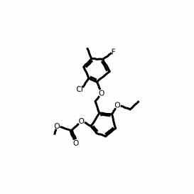 CCOc1cccc(OC(=O)OC)c1COc1cc(F)c(C)cc1Cl